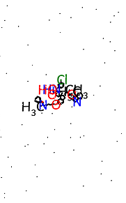 C[C@@H](COc1ccnc2c1[C@H](C)CCC2)C[C@H]1Cc2ccc(OCCCCN(C)Cc3ccccc3)cc2C12CCC(Nc1cccc(Cl)c1)(C(=O)O)CC2